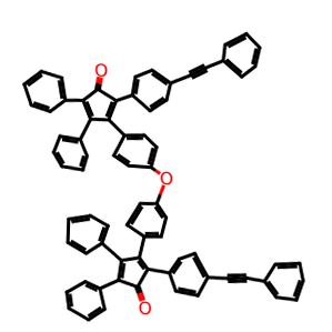 O=C1C(c2ccccc2)=C(c2ccccc2)C(c2ccc(Oc3ccc(C4=C(c5ccc(C#Cc6ccccc6)cc5)C(=O)C(c5ccccc5)=C4c4ccccc4)cc3)cc2)=C1c1ccc(C#Cc2ccccc2)cc1